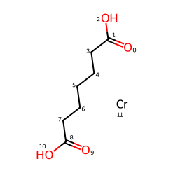 O=C(O)CCCCCC(=O)O.[Cr]